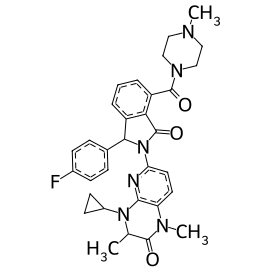 CC1C(=O)N(C)c2ccc(N3C(=O)c4c(C(=O)N5CCN(C)CC5)cccc4C3c3ccc(F)cc3)nc2N1C1CC1